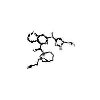 Cc1cc(Nc2cc3ncccc3c(C(=O)C34CCCC(CC3)N4CCC#N)n2)n[nH]1